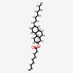 CCCCCCCCC(=O)O[C@@H]1CCC2C(CCC3C[C@H](CCCCCCCC)CCC32)C1